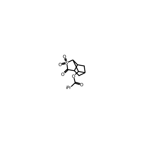 CC(C)C(=O)OC1C2CC3C(=O)S(=O)(=O)C1C3C2